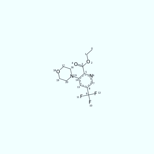 CCOC(=O)c1ncc(C(F)(F)F)cc1N1CCOCC1